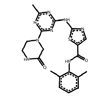 Cc1nc(Nc2ncc(C(=O)Nc3c(C)cccc3C)s2)nc(N2CCNC(=O)C2)n1